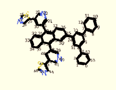 c1ccc(-c2cc(-c3ccccc3)cc(-c3ccc4c(-c5cncc(-c6cncs6)c5)c5ccccc5c(-c5cncc(-c6cncs6)c5)c4c3)c2)cc1